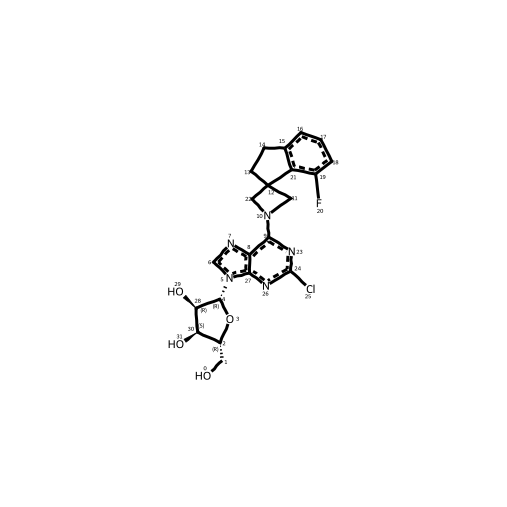 OC[C@H]1O[C@@H](n2cnc3c(N4CC5(CCc6cccc(F)c65)C4)nc(Cl)nc32)[C@H](O)[C@@H]1O